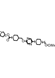 COOSN1CCN(c2cnc(OCC3CCN(C(=O)O[C@@H]4CCOC4)CC3)cn2)CC1